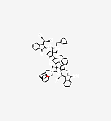 N#CC(C#N)=C1/C(=N/C2=Cc3sc4c5c(sc4c3C2(C(=O)OCc2ccccc2)C(=O)OCc2ccccc2)-c2sc(/N=C3\C(=C(C#N)C#N)c4ccccc4C3O)cc2C5(C(=O)OCc2ccccc2)C(=O)OCc2ccccc2)C(=O)c2ccccc21